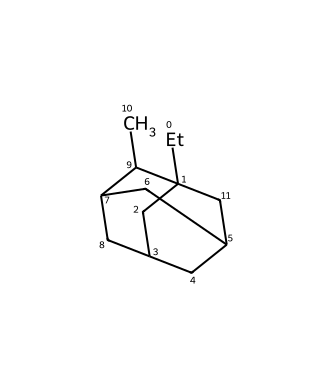 CCC12CC3CC(CC(C3)C1C)C2